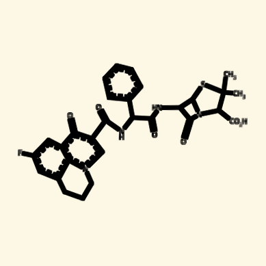 CC1(C)SC2C(NC(=O)C(NC(=O)c3cn4c5c(cc(F)cc5c3=O)CCC4)c3ccccc3)C(=O)N2C1C(=O)O